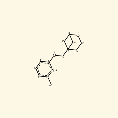 Cc1cccc(OCC23CCOC(C2)C3)n1